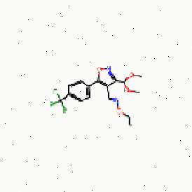 CCON=Cc1c(C(OC)OC)noc1-c1ccc(C(F)(F)F)cc1